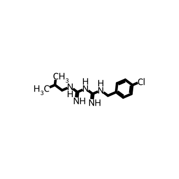 CC(C)CNC(=N)NC(=N)NCc1ccc(Cl)cc1